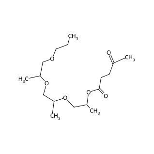 CCCOCC(C)OCC(C)OCC(C)OC(=O)CCC(C)=O